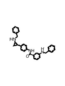 O=C(Nc1ccc(C2CC2NCc2ccccc2)cc1)c1cccc(NCc2ccccc2)c1